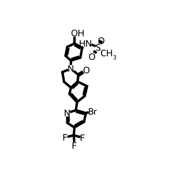 CS(=O)(=O)Nc1cc(N2CCc3cc(-c4ncc(C(F)(F)F)cc4Br)ccc3C2=O)ccc1O